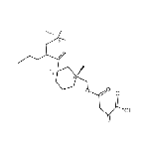 C=C(CC(=O)OC[C@]1(C)CCC[C@@](C)(C2=CC[C@](C)(I)CC2CCC)C1)C(=O)O